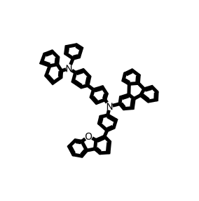 c1ccc(N(c2ccc(-c3ccc(N(c4ccc(-c5cccc6c5oc5ccccc56)cc4)c4ccc5c6ccccc6c6ccccc6c5c4)cc3)cc2)c2cccc3ccccc23)cc1